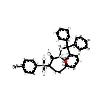 O=C1C(S(=O)(=O)c2ccc(Br)cc2)CCCCN1OC(c1ccccc1)(c1ccccc1)c1ccccc1